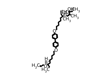 BC(CC)(CCCCCCOc1ccc(-c2ccc(OCCCCCCC(C)(CC)OCC(C)C(C)(O)CC)cc2)cc1)OCC=C